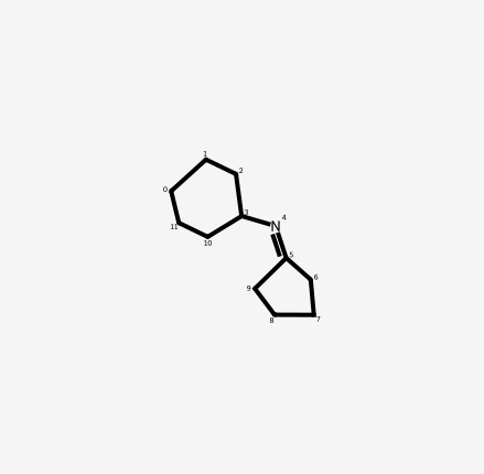 C1CCC(N=C2CCCC2)CC1